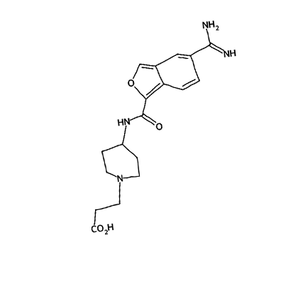 N=C(N)c1ccc2c(C(=O)NC3CCN(CCC(=O)O)CC3)occ2c1